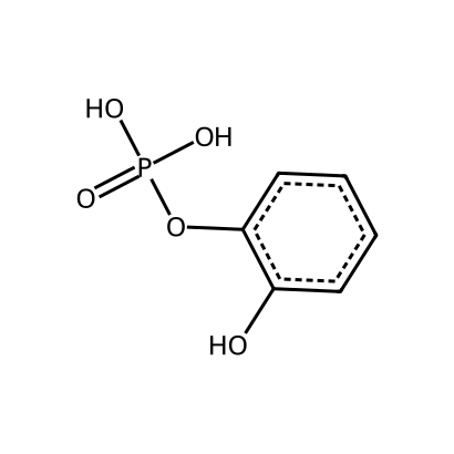 O=P(O)(O)Oc1ccccc1O